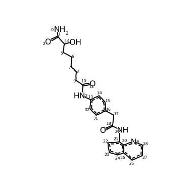 NC(=O)C(O)CCCCCC(=O)Nc1ccc(CC(=O)Nc2cccc3cccnc23)cc1